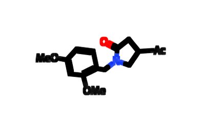 COc1ccc(CN2CC(C(C)=O)CC2=O)c(OC)c1